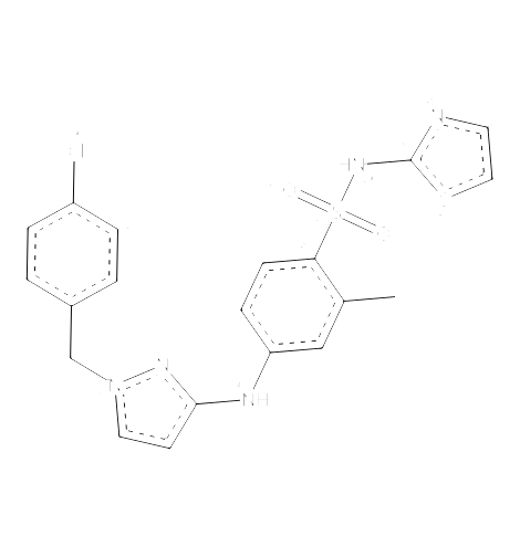 Cc1cc(Nc2ccn(Cc3ccc(Cl)cc3)n2)ccc1S(=O)(=O)Nc1nccs1